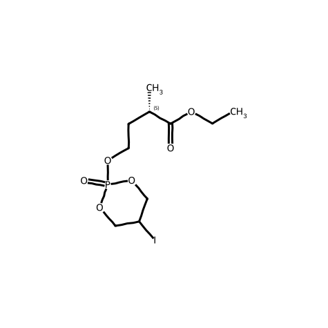 CCOC(=O)[C@@H](C)CCOP1(=O)OCC(I)CO1